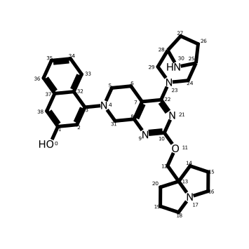 Oc1cc(N2CCc3c(nc(OCC45CCCN4CCC5)nc3N3CC4CCC(C3)N4)C2)c2ccccc2c1